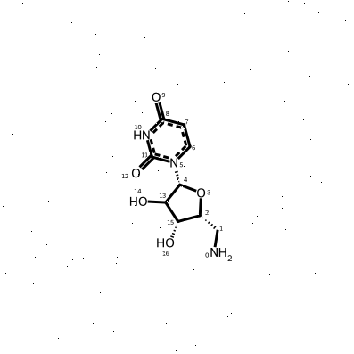 NC[C@H]1O[C@@H](n2ccc(=O)[nH]c2=O)C(O)[C@H]1O